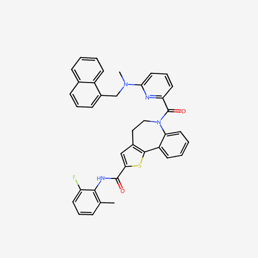 Cc1cccc(F)c1NC(=O)c1cc2c(s1)-c1ccccc1N(C(=O)c1cccc(N(C)Cc3cccc4ccccc34)n1)CC2